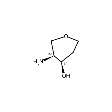 N[C@H]1COCC[C@H]1O